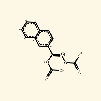 O=C(Cl)O[SH]=C(OC(=O)Cl)c1ccc2ccccc2c1